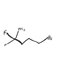 CCC(C)CCCC(F)(F)P